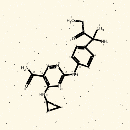 CCC(=O)C(C)(N)c1ccc(Nc2ncc(C(N)=O)c(NC3CC3)n2)cc1